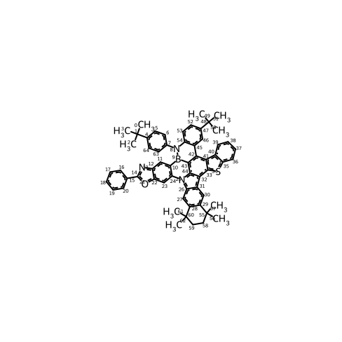 CC(C)(C)c1ccc(N2B3c4cc5nc(-c6ccccc6)oc5cc4-n4c5cc6c(cc5c5c7sc8ccccc8c7c(c3c54)-c3cc(C(C)(C)C)ccc32)C(C)(C)CCC6(C)C)cc1